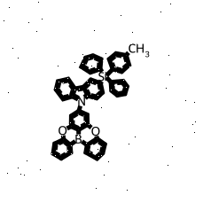 Cc1ccc([Si](c2ccccc2)(c2ccccc2)c2ccc3c(c2)c2ccccc2n3-c2cc3c4c(c2)Oc2ccccc2B4c2ccccc2O3)cc1